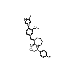 COc1cc(/C=C2\CCCCN3C2=NOC[C@@H]3c2ccc(F)cc2)ccc1-n1cnc(C)c1